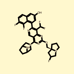 Oc1cc(-c2ncc3c(N4CC5CCC(C4)N5)nc(OC[C@@]45CCCN4CC(F)C5)nc3c2C(F)F)c2c(F)c(F)ccc2c1